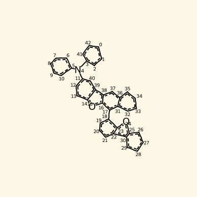 c1ccc(N(c2ccccc2)c2ccc3oc4c(-c5cccc6c5oc5ccccc56)c5ccccc5cc4c3c2)cc1